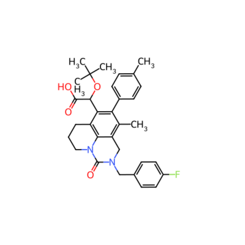 Cc1ccc(-c2c(C)c3c4c(c2C(OC(C)(C)C)C(=O)O)CCCN4C(=O)N(Cc2ccc(F)cc2)C3)cc1